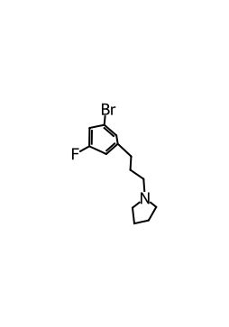 Fc1cc(Br)cc(CCCN2CCCC2)c1